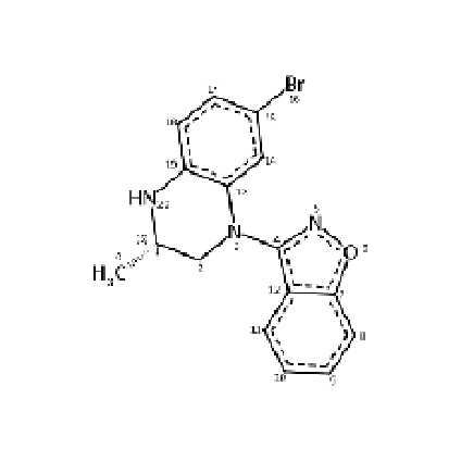 C[C@H]1CN(c2noc3ccccc23)c2cc(Br)ccc2N1